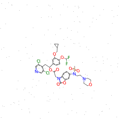 CS(=O)(=O)N(CCN1CCOCC1)c1ccc2c(c1)oc(=O)n2CC(=O)OC(Cc1c(Cl)cncc1Cl)c1ccc(OC(F)F)c(OCC2CC2)c1